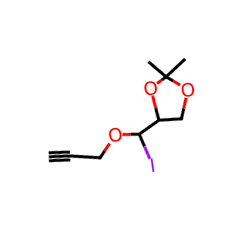 C#CCOC(I)C1COC(C)(C)O1